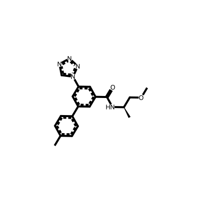 COC[C@@H](C)NC(=O)c1cc(-c2ccc(C)cc2)cc(-n2cnnn2)c1